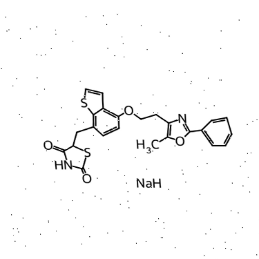 Cc1oc(-c2ccccc2)nc1CCOc1ccc(CC2SC(=O)NC2=O)c2sccc12.[NaH]